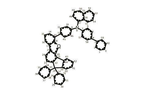 c1ccc(-c2ccc(N(c3ccc(-c4cccc5c4oc4c6c(ccc45)C(c4ccccc4)(c4ccccc4)c4ccccc4-6)cc3)c3cccc4ccccc34)cc2)cc1